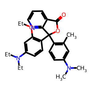 CCOc1cc(N(CC)CC)ccc1C1(c2ccc(N(C)C)cc2C)OC(=O)c2cccnc21